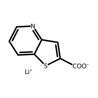 O=C([O-])c1cc2ncccc2s1.[Li+]